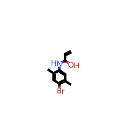 C=CC(O)Nc1cc(C)c(Br)cc1C